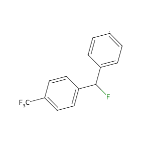 FC(c1cc[c]cc1)c1ccc(C(F)(F)F)cc1